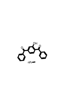 CCCC.O=C(c1ccccc1)c1ccc(C(=O)c2ccccc2)c(O)c1